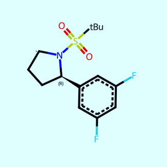 CC(C)(C)S(=O)(=O)N1[CH]CC[C@@H]1c1cc(F)cc(F)c1